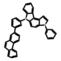 c1ccc(-n2ccc3c4c5ccccc5n(-c5cccc(-c6ccc7c(ccc8ccccc87)c6)c5)c4ccc32)cc1